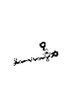 O=C(O)COCCOCCOCCOCCNC(=O)[C@H](Cc1ccccc1)NC(=O)OCc1ccccc1